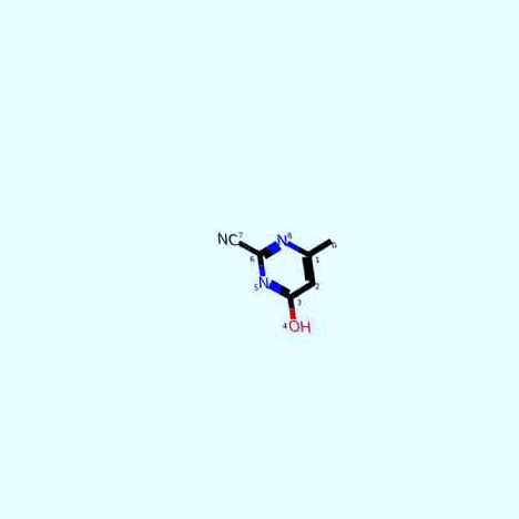 Cc1cc(O)nc(C#N)n1